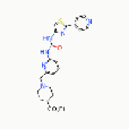 CCOC(=O)C1CCN(Cc2cccc(NC(=O)Nc3csc(-c4ccncc4)n3)n2)CC1